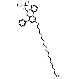 CCCCCCCCCCCCCCCCCCOc1cc(-c2ccccc2)c(OC(=O)OC(C)(C)C)c(-c2ccccc2)c1